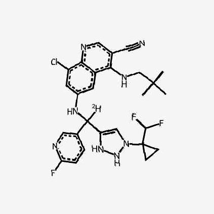 [2H]C(Nc1cc(Cl)c2ncc(C#N)c(NCC(C)(C)C)c2c1)(C1=CN(C2(C(F)F)CC2)NN1)c1ccc(F)nc1